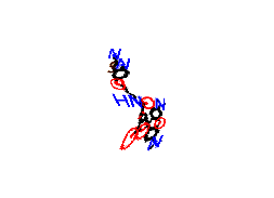 CN(C)c1ccc2c(c1)Oc1cc(N(C)C)ccc1C21OC(=O)c2ccc(C(=O)NCCCOc3ccc4nc(C#N)sc4c3)cc21